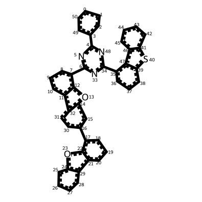 c1ccc(-c2nc(-c3cccc4c3oc3cc(-c5cccc6c5oc5ccccc56)ccc34)nc(-c3cccc4sc5ccccc5c34)n2)cc1